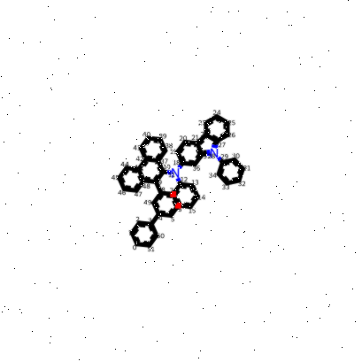 c1ccc(-c2cccc(-c3c(N(c4ccccc4)c4ccc5c6ccccc6n(-c6ccccc6)c5c4)c4ccccc4c4ccccc34)c2)cc1